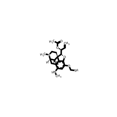 C=C[C@H](OC(C)=O)[C@@H]1Oc2c(OCS)cc(NC)c3c2[C@@]12CCN(C)[C@H](C3)[C@@H]2C